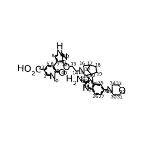 Cn1cc(C(=O)O)cc(-c2c[nH]nc2OCCN2CC3CCC(n4c(N)nc5ccc(N6CCOCC6)cc54)(C3)C2)c1=O